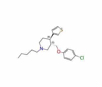 CCCCCN1CC[C@@H](c2ccsc2)[C@H](COc2ccc(Cl)cc2)C1